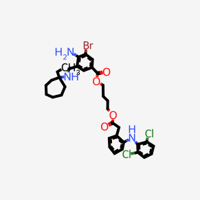 CCC1(NCc2cc(C(=O)OCCCCOC(=O)Cc3ccccc3Nc3c(Cl)cccc3Cl)cc(Br)c2N)CCCCCC1